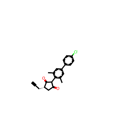 C#CC[C@H]1CC(=O)C(c2c(C)cc(-c3ccc(Cl)cc3)cc2C)C1=O